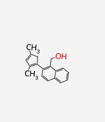 CC1=CC(C)=C(c2ccc3ccccc3c2CO)C1